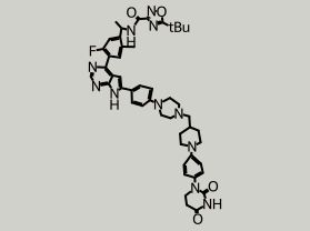 Cc1cc(-c2ncnc3[nH]c(-c4ccc(N5CCN(CC6CCN(c7ccc(N8CCC(=O)NC8=O)cc7)CC6)CC5)cc4)cc23)c(F)cc1C(C)NC(=O)c1noc(C(C)(C)C)n1